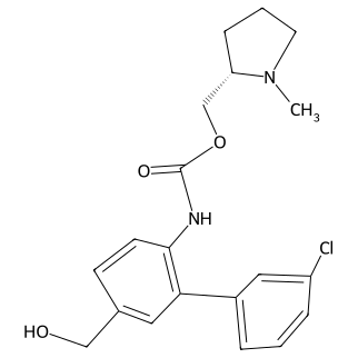 CN1CCC[C@H]1COC(=O)Nc1ccc(CO)cc1-c1cccc(Cl)c1